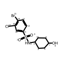 O=S(=O)(NC1CCC(O)CC1)c1ccc(Br)c(Cl)c1